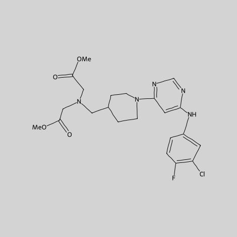 COC(=O)CN(CC(=O)OC)CC1CCN(c2cc(Nc3ccc(F)c(Cl)c3)ncn2)CC1